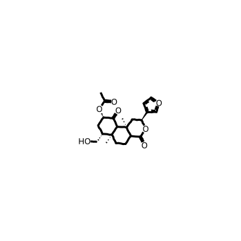 CC(=O)O[C@H]1C[C@@H](CO)[C@]2(C)CCC3C(=O)O[C@H](c4ccoc4)C[C@]3(C)C2C1=O